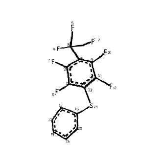 Fc1c(F)c(C(F)(F)F)c(F)c(F)c1Sc1ccccc1